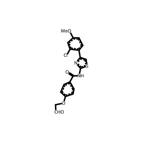 COc1ccc(-c2csc(NC(=O)c3ccc(OCC=O)cc3)n2)c(Cl)c1